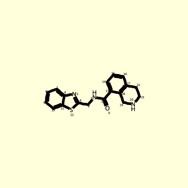 O=C(NCc1nc2ccccc2s1)c1cccc2c1CNCC2